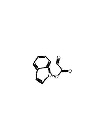 O=CC(=O)O.c1ccc2occc2c1